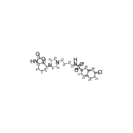 O=c1[nH]c2cccc(N3CCN(CCCCNS(=O)(=O)c4ccc5ccc(Cl)cc5c4)CC3)c2o1